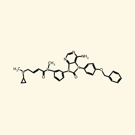 CN(C(=O)/C=C/CN(C)C1CC1)c1cccc(-n2c(=O)n(-c3ccc(OCc4ccccc4)cc3)c3c(N)ncnc32)c1